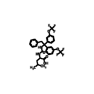 CC(C)CC(NC(=O)NC(Cc1ccccc1)(c1cccc(OC(F)(F)F)c1)c1cccc(OC(F)(F)F)c1)C(=O)O